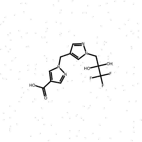 O=C(O)c1cnn(Cc2cnn(CC(O)(O)C(F)(F)F)c2)c1